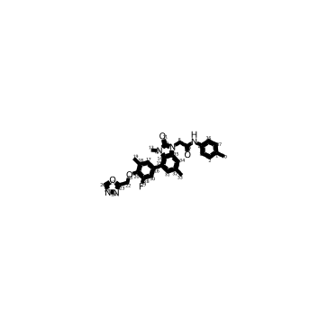 Cc1ccc(NC(=O)Cn2c(=O)n(C)c3c(-c4cc(C)c(OCc5nnco5)c(F)c4)cc(C)cc32)cc1